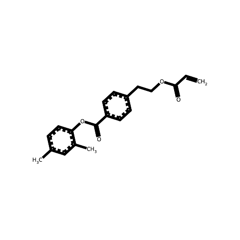 C=CC(=O)OCCc1ccc(C(=O)Oc2ccc(C)cc2C)cc1